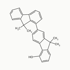 CC1(C)c2cc(-c3cccc4c3C(C)(C)c3ccccc3-4)ccc2-c2c(O)cccc21